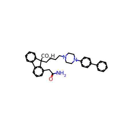 NC(=O)Cc1cccc2c1C(CCCCN1CCN(c3ccc(-c4ccccc4)cc3)CC1)(C(=O)O)c1ccccc1-2